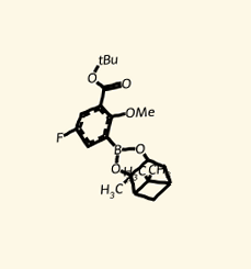 COc1c(B2OC3CC4CC(C4(C)C)[C@]3(C)O2)cc(F)cc1C(=O)OC(C)(C)C